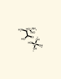 CCC(O)CN.N.O=NO.O[Si](O)(O)O